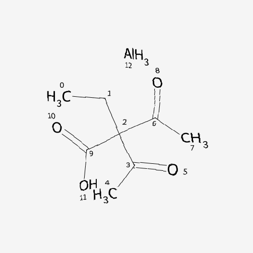 CCC(C(C)=O)(C(C)=O)C(=O)O.[AlH3]